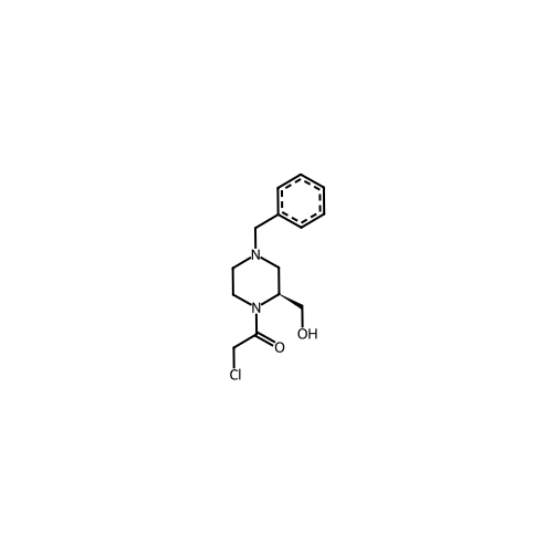 O=C(CCl)N1CCN(Cc2ccccc2)C[C@H]1CO